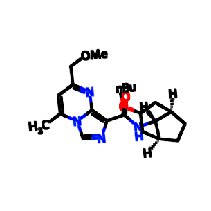 CCCCO[C@H]1C[C@H]2CC[C@@H](C1)[C@@H]2NC(=O)c1ncn2c(C)cc(COC)nc12